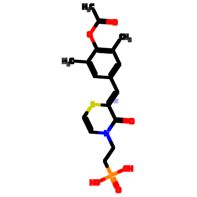 CC(=O)Oc1c(C)cc(/C=C2\SC=CN(CCP(=O)(O)O)C2=O)cc1C